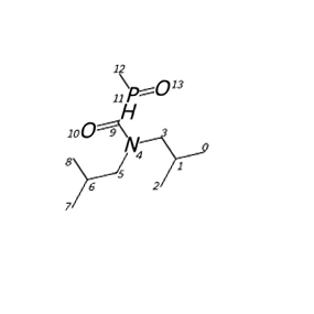 CC(C)CN(CC(C)C)C(=O)[PH](C)=O